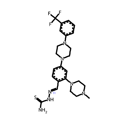 CN1CCN(c2cc(N3CCN(c4cccc(C(F)(F)F)c4)CC3)ccc2/C=N/NC(N)=S)CC1